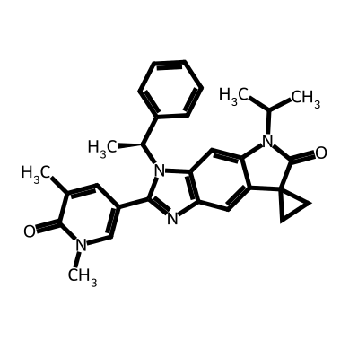 Cc1cc(-c2nc3cc4c(cc3n2[C@@H](C)c2ccccc2)N(C(C)C)C(=O)C42CC2)cn(C)c1=O